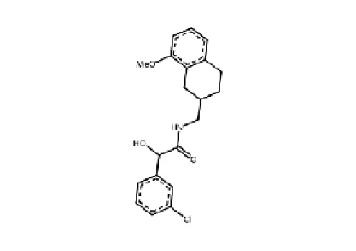 COc1cccc2c1CC(CNC(=O)C(O)c1cccc(Cl)c1)CC2